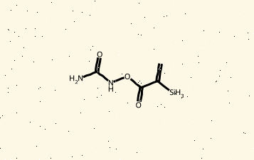 C=C([SiH3])C(=O)ONC(N)=O